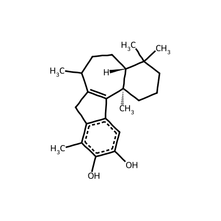 Cc1c(O)c(O)cc2c1CC1=C2[C@]2(C)CCCC(C)(C)[C@H]2CCC1C